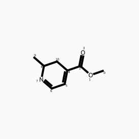 COC(=O)C1=CC=NC(C)C1